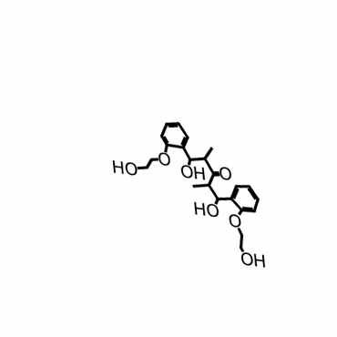 CC(C(=O)C(C)C(O)c1ccccc1OCCO)C(O)c1ccccc1OCCO